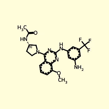 COc1cccc2c(N3CC[C@H](NC(C)=O)C3)nc(Nc3cc(N)cc(C(F)(F)F)c3)nc12